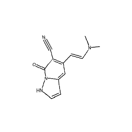 CN(C)C=Cc1cc2cc[nH]n2c(=O)c1C#N